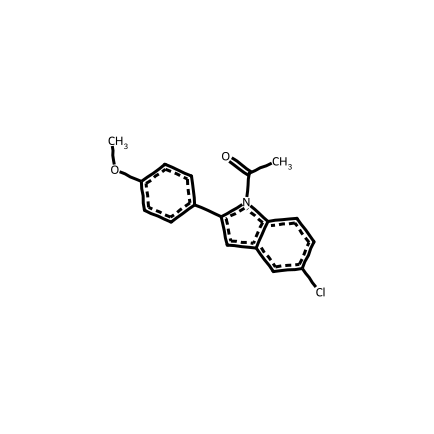 COc1ccc(-c2cc3cc(Cl)ccc3n2C(C)=O)cc1